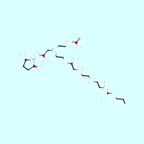 CCCOC(=O)NCCOCCOCC(=O)OCCN(CCOC(C)=O)CC(=O)ON1C(=O)CCC1=O